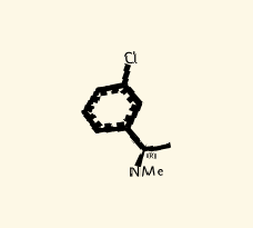 CN[C@H](C)c1cccc(Cl)c1